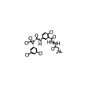 CN(C)CC(=O)NNC(=O)c1cc(NC(=O)[C@H]2[C@H](c3cc(Cl)cc(Cl)c3)C2(Cl)Cl)ccc1Cl